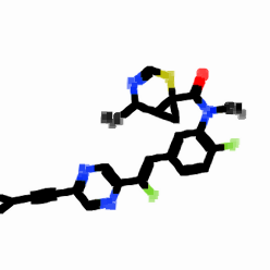 CC1N=CSC2(C(=O)N(C)c3cc(/C=C(\F)c4cnc(C#CC5CC5)cn4)ccc3F)CC12